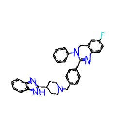 Fc1ccc2c(c1)CN(c1ccccc1)C(c1ccc(CN3CCC(c4nc5ccccc5[nH]4)CC3)cc1)=N2